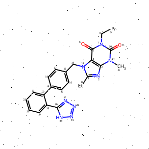 CCc1nc2c(c(=O)n(CC(C)C)c(=O)n2C)n1Cc1ccc(-c2ccccc2-c2nnn[nH]2)cc1